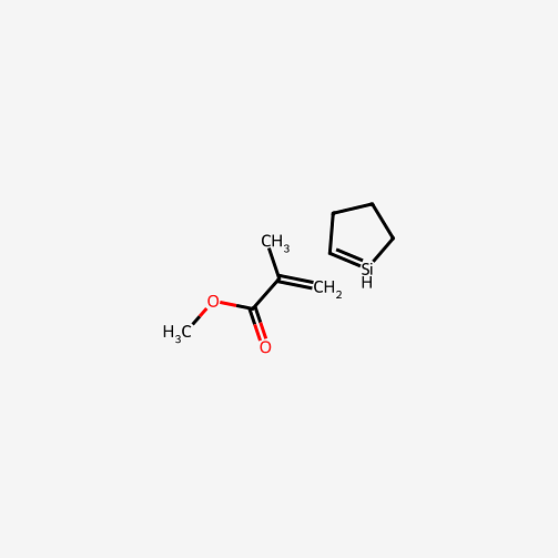 C1=[SiH]CCC1.C=C(C)C(=O)OC